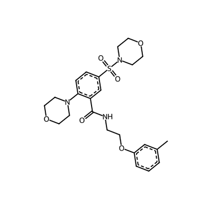 Cc1cccc(OCCNC(=O)c2cc(S(=O)(=O)N3CCOCC3)ccc2N2CCOCC2)c1